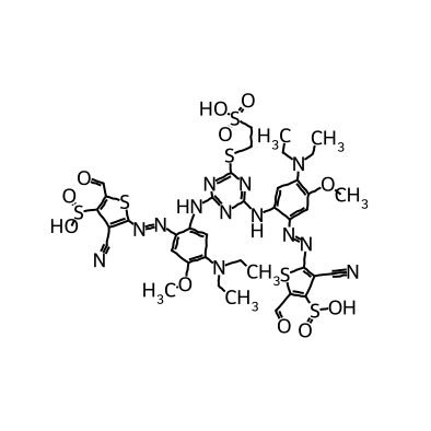 CCN(CC)c1cc(Nc2nc(Nc3cc(N(CC)CC)c(OC)cc3/N=N/c3sc(C=O)c(S(=O)O)c3C#N)nc(SCCS(=O)(=O)O)n2)c(/N=N/c2sc(C=O)c(S(=O)O)c2C#N)cc1OC